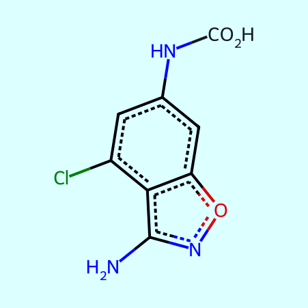 Nc1noc2cc(NC(=O)O)cc(Cl)c12